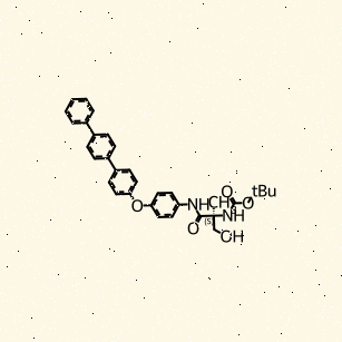 CC(C)(C)OC(=O)N[C@@](C)(CO)C(=O)Nc1ccc(Oc2ccc(-c3ccc(-c4ccccc4)cc3)cc2)cc1